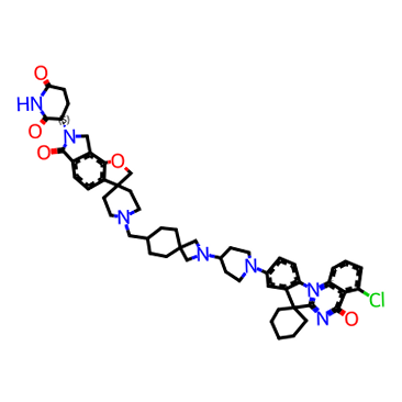 O=C1CC[C@H](N2Cc3c(ccc4c3OCC43CCN(CC4CCC5(CC4)CN(C4CCN(c6ccc7c(c6)C6(CCCCC6)c6nc(=O)c8c(Cl)cccc8n6-7)CC4)C5)CC3)C2=O)C(=O)N1